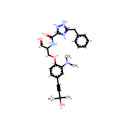 CN(C)c1cc(C#CC(C)(C)O)ccc1OCC(C=O)NC(=O)c1n[nH]c(Cc2ccccc2)n1